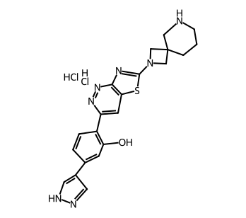 Cl.Cl.Oc1cc(-c2cn[nH]c2)ccc1-c1cc2sc(N3CC4(CCCNC4)C3)nc2nn1